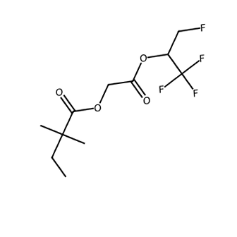 CCC(C)(C)C(=O)OCC(=O)OC(CF)C(F)(F)F